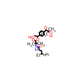 CCCC(CC)CCC(=O)NC(C)(C)C(=O)OC(CO)c1ccc(C(=O)C(C)(C)O)cc1